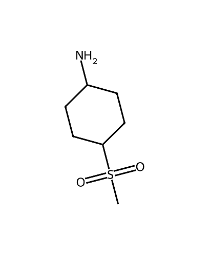 CS(=O)(=O)C1CCC(N)CC1